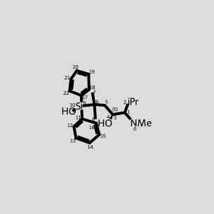 CNC(C(C)C)[C@@H](O)CC(C)(C)[Si](O)(c1ccccc1)c1ccccc1